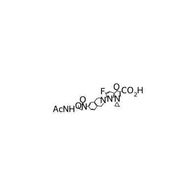 CC(=O)NC[C@H]1CN(c2ccc3c(c2)CCN(c2nc4c(cc2F)c(=O)c(C(=O)O)cn4C2CC2)CC3)C(=O)O1